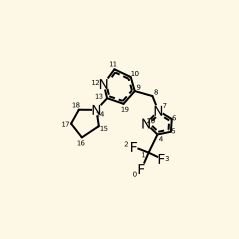 FC(F)(F)c1ccn(Cc2ccnc(N3CCCC3)c2)n1